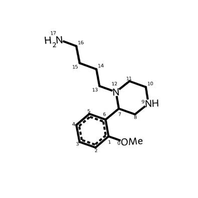 COc1ccccc1C1CNCCN1CCCCN